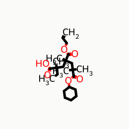 C=CCOC(=O)C(C)(CC(C)(C)C(=O)OC1CCCCC1)CC(C)(CC)C(=O)O